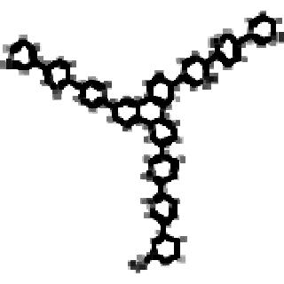 CN1C=C(c2ccc(-c3ccc(-c4ccc5c6cc(C7=CNC(C8=CC=C(C9=CNCC=C9)CN8)C=C7)ccc6c6cc(-c7ccc(-c8ccc(-c9cccnc9)cn8)nc7)ccc6c5c4)cn3)nc2)C=CC1